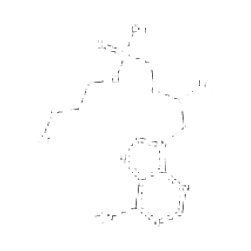 CC(=O)SCCOP(=O)(O)CO[C@H](C)Cn1cnc2c(N)ncnc21